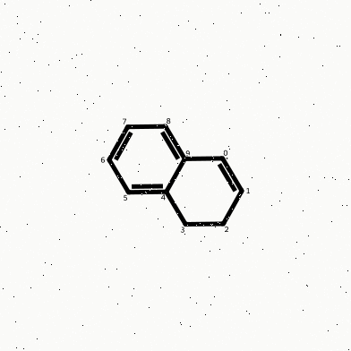 [C]1=CCCc2ccccc21